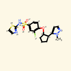 Cn1nccc1C1CCCC1Oc1ccc(S(=O)(=O)Nc2nccs2)cc1F